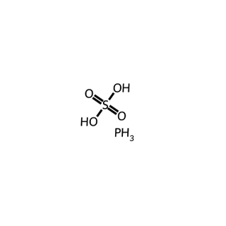 O=S(=O)(O)O.P